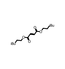 CCC(C)CCOC(=O)/C=C/C(=O)OCCC(C)CC